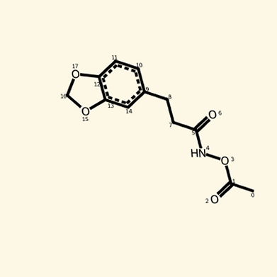 CC(=O)ONC(=O)CCc1ccc2c(c1)OCO2